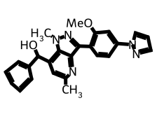 COc1cc(-n2cccn2)ccc1-c1nn(C)c2c(C(O)c3ccccc3)cc(C)nc12